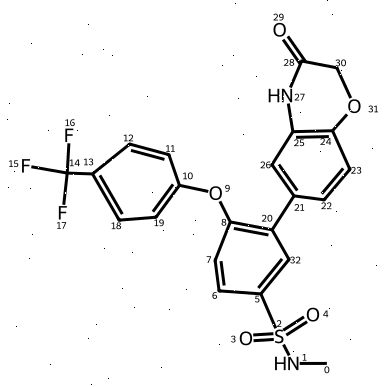 CNS(=O)(=O)c1ccc(Oc2ccc(C(F)(F)F)cc2)c(-c2ccc3c(c2)NC(=O)CO3)c1